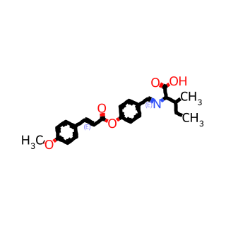 CCC(C)C(/N=C/c1ccc(OC(=O)/C=C/c2ccc(OC)cc2)cc1)C(=O)O